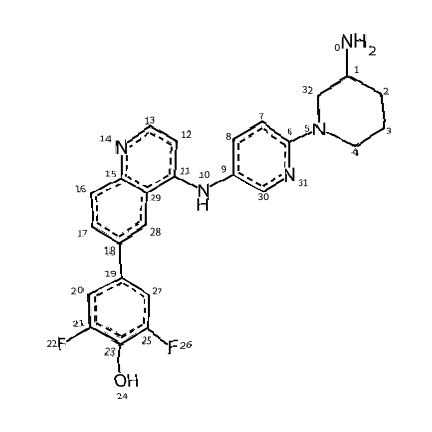 NC1CCCN(c2ccc(Nc3ccnc4ccc(-c5cc(F)c(O)c(F)c5)cc34)cn2)C1